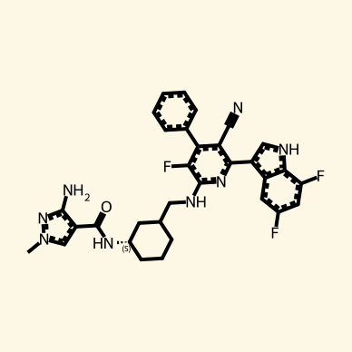 Cn1cc(C(=O)N[C@H]2CCCC(CNc3nc(-c4c[nH]c5c(F)cc(F)cc45)c(C#N)c(-c4ccccc4)c3F)C2)c(N)n1